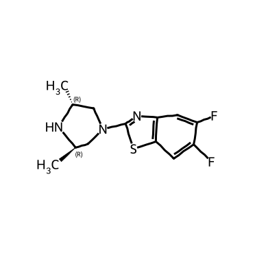 C[C@@H]1CN(c2nc3cc(F)c(F)cc3s2)C[C@@H](C)N1